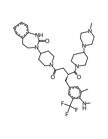 CNc1c(C)cc(C[C@@H](CC(=O)N2CCC(N3CCc4ccccc4NC3=O)CC2)C(=O)N2CCC(N3CCN(C)CC3)CC2)cc1C(F)(F)F